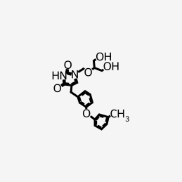 Cc1cccc(Oc2cccc(Cc3cn(COC(CO)CO)c(=O)[nH]c3=O)c2)c1